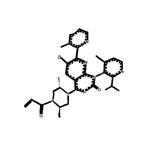 C=CC(=O)N1C[C@H](C)N(c2nc(=O)n(-c3c(C)ccnc3C(C)C)c3nc(-c4ncccc4C)c(Cl)cc23)C[C@H]1C